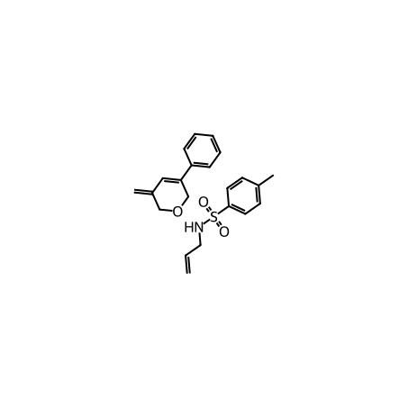 C=C1C=C(c2ccccc2)COC1.C=CCNS(=O)(=O)c1ccc(C)cc1